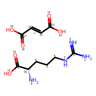 N=C(N)NCCC[C@H](N)C(=O)O.O=C(O)/C=C/C(=O)O